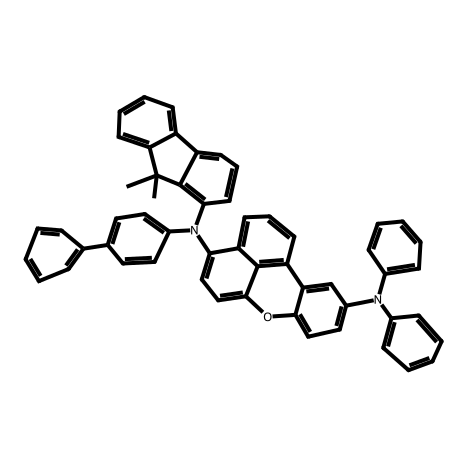 CC1(C)c2ccccc2-c2cccc(N(c3ccc(-c4ccccc4)cc3)c3ccc4c5c(cccc35)-c3cc(N(c5ccccc5)c5ccccc5)ccc3O4)c21